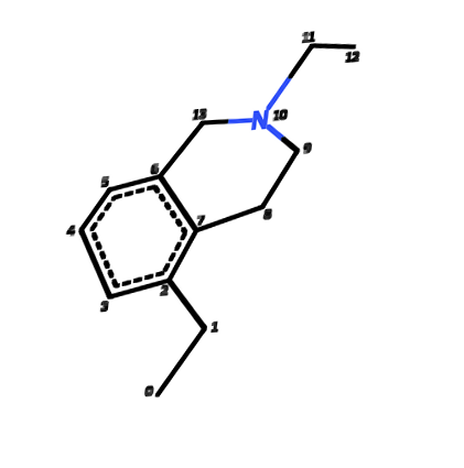 CCc1cccc2c1CCN(CC)C2